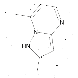 C[C]1C=C2N=CC=C(C)N2N1